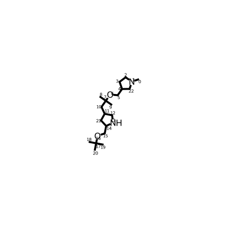 CN1CCC(COC(C)(C)CC2CNC(COC(C)(C)C)C2)C1